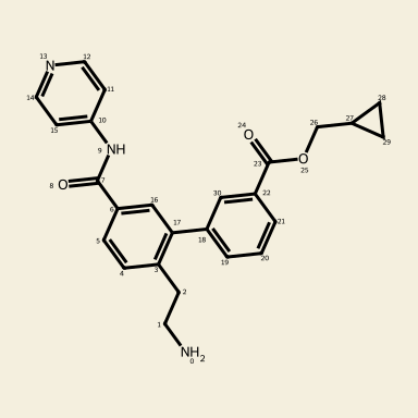 NCCc1ccc(C(=O)Nc2ccncc2)cc1-c1cccc(C(=O)OCC2CC2)c1